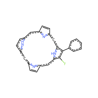 Fc1c(-c2ccccc2)c2cc3nc(cc4ccc(cc5nc(cc1[nH]2)C=C5)[nH]4)C=C3